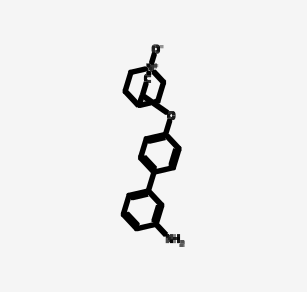 Nc1cccc(-c2ccc(OC3C[N+]4([O-])CCC3CC4)cc2)c1